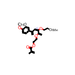 C=C(C)C(=O)OCCOC(=C)/C(=C\C(=C)c1ccc(OC=O)cc1)OCCOC